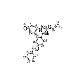 COc1ccc(-n2nc(OCC3CC3)nc2-c2ccc(OCc3ccccc3)cc2)cn1